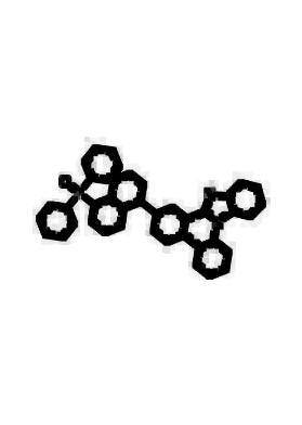 O=P(c1ccccc1)(c1ccccc1)c1cccc2c(-c3ccc4c5ccccc5n5c6ccccc6nc5c4c3)cccc12